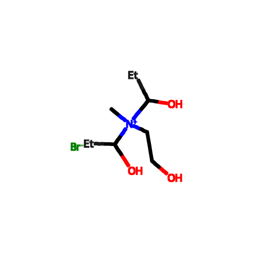 CCC(O)[N+](C)(CCO)C(O)CC.[Br-]